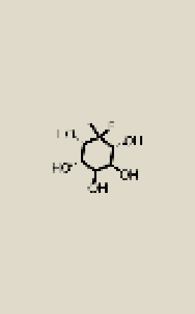 CC1(F)[C@H](O)[C@@H](O)[C@@H](O)[C@H](O)[C@@H]1O